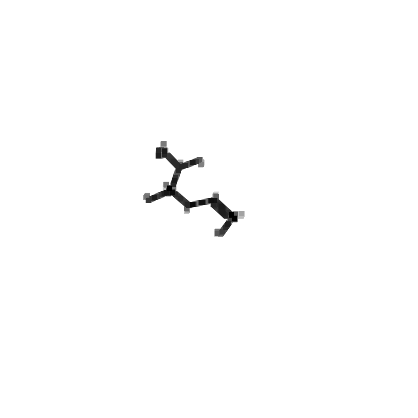 CCC(C)N(C)C/C=N\C